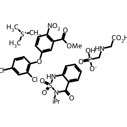 CC(C)N1C(=O)c2ccccc2NS1(=O)=O.COC(=O)c1cc(Oc2ccc(Cl)cc2Cl)ccc1[N+](=O)[O-].C[S+](C)C.O=C(O)CNCP(=O)([O-])O